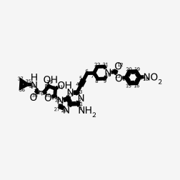 Nc1nc(C#CCC2CCN(C(=O)Oc3ccc([N+](=O)[O-])cc3)CC2)nc2c1ncn2[C@@H]1O[C@H](C(=O)NC2CC2)[C@H](O)C1O